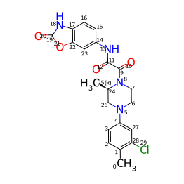 Cc1ccc(N2CCN(C(=O)C(=O)Nc3ccc4[nH]c(=O)oc4c3)[C@H](C)C2)cc1Cl